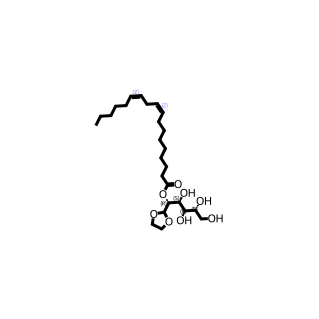 CCCCC/C=C\C/C=C\CCCCCCCC(=O)O[C@@H](C1OCCO1)[C@@H](O)[C@H](O)[C@H](O)CO